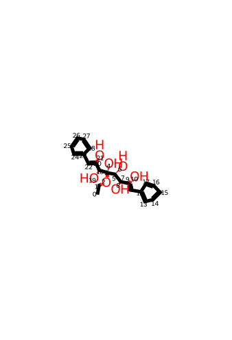 CCO[C@](O)([C@H](O)[C@H](O)C(O)=Cc1ccccc1)[C@@H](O)C(O)=Cc1ccccc1